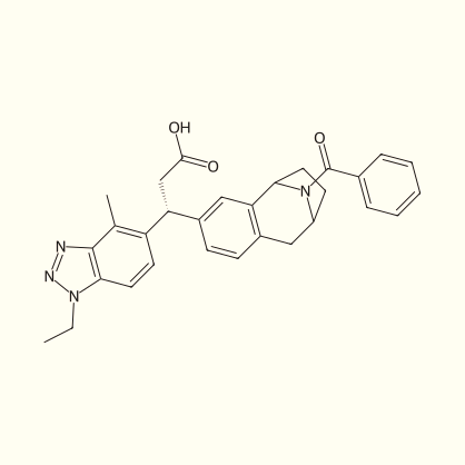 CCn1nnc2c(C)c([C@H](CC(=O)O)c3ccc4c(c3)C3CCC(C4)N3C(=O)c3ccccc3)ccc21